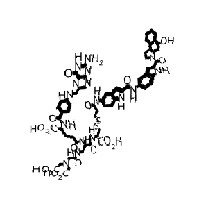 Nc1nc2ncc(CNc3ccc(C(=O)NC(CCC(=O)NC(CNC(=O)CN(CC(=O)O)CC(=O)O)C(=O)NC(CSSCCC(=O)Nc4ccc5[nH]c(C(=O)Nc6ccc7[nH]c(C(=O)N8CCc9c8cc(O)c8ccccc98)cc7c6)cc5c4)C(=O)O)C(=O)O)cc3)nc2c(=O)[nH]1